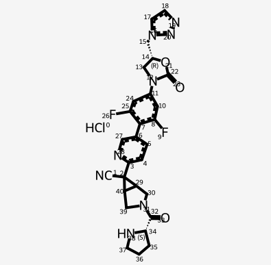 Cl.N#CC1(c2ccc(-c3c(F)cc(N4C[C@H](Cn5ccnn5)OC4=O)cc3F)cn2)C2CN(C(=O)[C@@H]3CCCN3)CC21